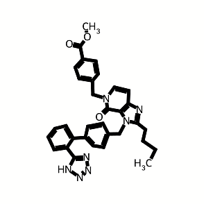 CCCCc1nc2ccn(Cc3ccc(C(=O)OC)cc3)c(=O)c2n1Cc1ccc(-c2ccccc2-c2nnn[nH]2)cc1